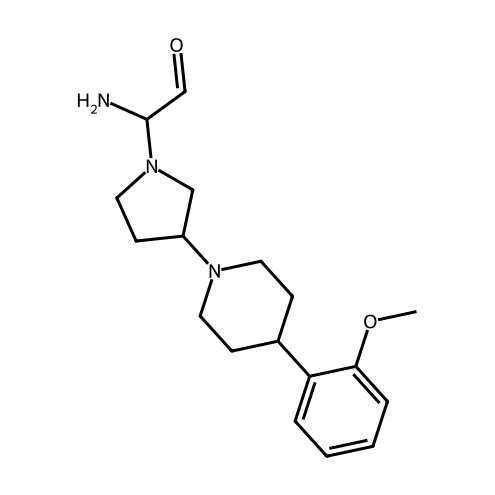 COc1ccccc1C1CCN(C2CCN(C(N)C=O)C2)CC1